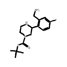 CC(C)(C)OC(=O)N1CCNC(c2ccc(F)cc2CN)C1